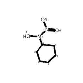 O=[N+]([O-])N(O)C1CCCCC1